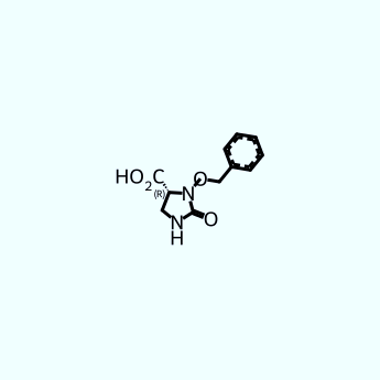 O=C(O)[C@H]1CNC(=O)N1OCc1ccccc1